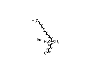 CCCCCCCCCCCC[N+](C)(C)CCCCCCl.[Br-]